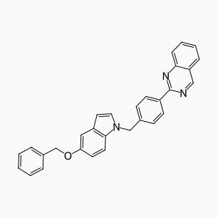 c1ccc(COc2ccc3c(ccn3Cc3ccc(-c4ncc5ccccc5n4)cc3)c2)cc1